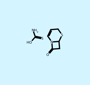 NC(O)=S.O=C1CC2SCC=CN12